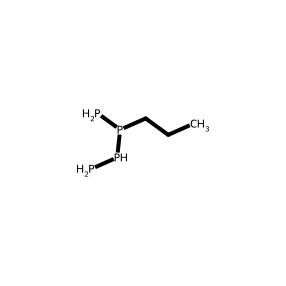 CCCP(P)PP